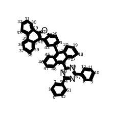 c1ccc(-c2nc(-c3ccccc3)nc(-c3c4ccccc4c(-c4ccc5oc6c7ccccc7c7ccccc7c6c5c4)c4ccccc34)n2)cc1